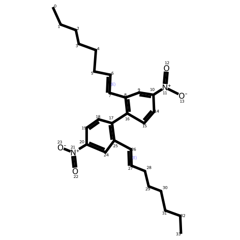 CCCCCC/C=C/c1cc([N+](=O)[O-])ccc1-c1ccc([N+](=O)[O-])cc1/C=C/CCCCCC